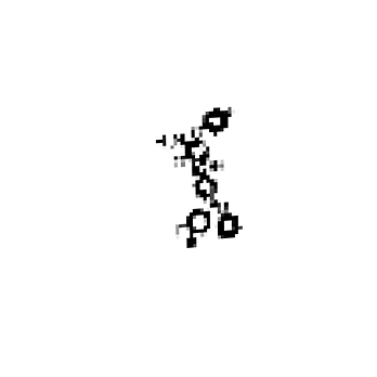 C#C[C@@]1(F)CC[C@@H](C(=O)N2CCC(O)(Cn3cnc(Oc4ccc(F)cc4)c(N)c3=O)CC2)[C@H](c2ccccc2)C1